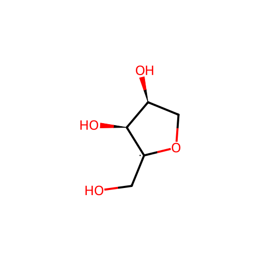 OC[C]1OC[C@H](O)[C@@H]1O